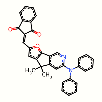 CC1(C)c2cc(N(c3ccccc3)c3ccccc3)ncc2-c2oc(C=C3C(=O)c4ccccc4C3=O)cc21